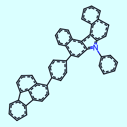 c1ccc(-n2c3ccc4ccccc4c3c3c4ccccc4c(-c4ccc(-c5ccc6c7c(cccc57)-c5ccccc5-6)cc4)cc32)cc1